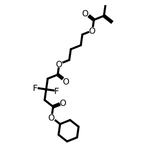 C=C(C)C(=O)OCCCCOC(=O)CC(F)(F)CC(=O)OC1CCCCC1